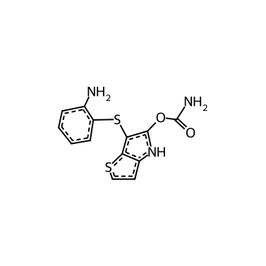 NC(=O)Oc1[nH]c2ccsc2c1Sc1ccccc1N